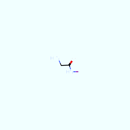 NCC(=O)NI